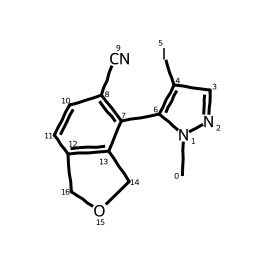 Cn1ncc(I)c1-c1c(C#N)ccc2c1COC2